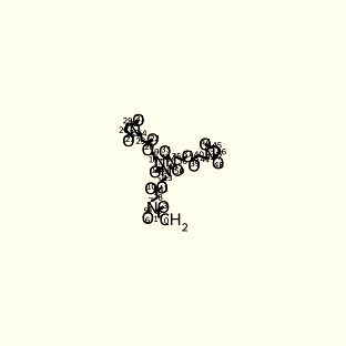 C=CC(=O)N(C=O)CCC(=O)OCCn1c(=O)n(CCOC(=O)CCN2C(=O)C=CC2=O)c(=O)n(CCOC(=O)CCN2C(=O)CCC2=O)c1=O